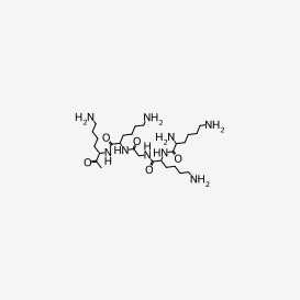 CC(=O)C(CCCCN)NC(=O)C(CCCCN)NC(=O)CNC(=O)C(CCCCN)NC(=O)C(N)CCCCN